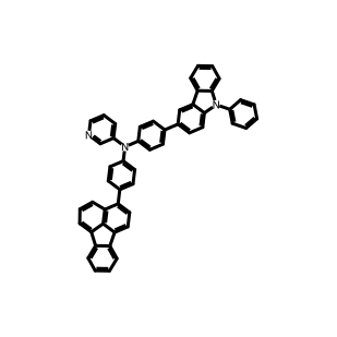 c1ccc(-n2c3ccccc3c3cc(-c4ccc(N(c5ccc(-c6ccc7c8c(cccc68)-c6ccccc6-7)cc5)c5cccnc5)cc4)ccc32)cc1